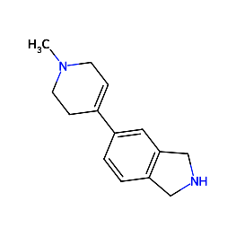 CN1CC=C(c2ccc3c(c2)CNC3)CC1